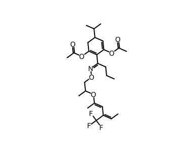 C/C=C(\C=C(/C)OC(C)CO/N=C(\CCC)C1=C(OC(C)=O)CC(C(C)C)C=C1OC(C)=O)C(F)(F)F